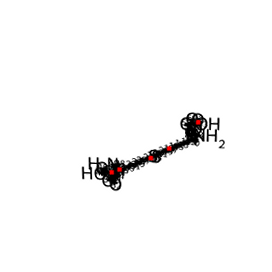 Cc1c(N)c2c3c(ccc2n1CCCCCCCCCCCCSSCCCCCCCCCCCn1c(C)c(N)c2c(OCC(=O)O)c4c(=O)c(=O)c4cc21)C(=O)C(=O)C(C(=O)O)O3